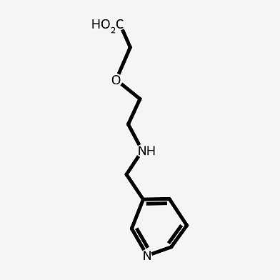 O=C(O)COCCNCc1cccnc1